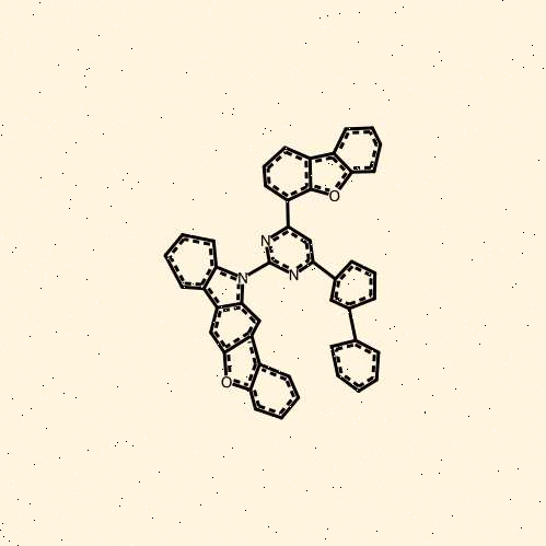 c1ccc(-c2cccc(-c3cc(-c4cccc5c4oc4ccccc45)nc(-n4c5ccccc5c5cc6oc7ccccc7c6cc54)n3)c2)cc1